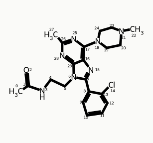 CC(=O)NCCn1c(-c2ccccc2Cl)nc2c(N3CCN(C)CC3)nc(C)nc21